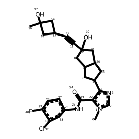 Cn1cnc(C2CC3CC(O)(C#CC4CC(C)(O)C4)CC3C2)c1C(=O)Nc1ccc(F)c(Cl)c1